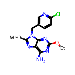 CCOc1nc(N)c2nc(OC)n(Cc3ccc(Cl)nc3)c2n1